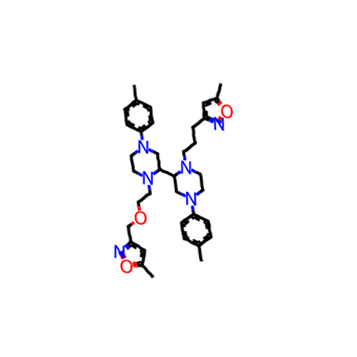 Cc1ccc(N2CCN(CCCc3cc(C)on3)C(C3CN(c4ccc(C)cc4)CCN3CCOCc3cc(C)on3)C2)cc1